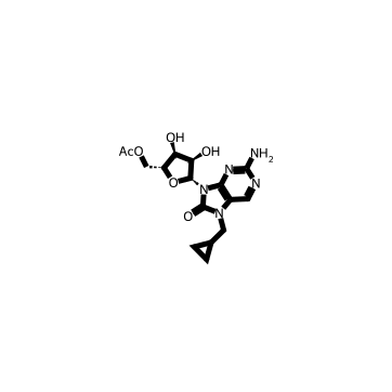 CC(=O)OC[C@H]1O[C@@H](n2c(=O)n(CC3CC3)c3cnc(N)nc32)[C@H](O)[C@@H]1O